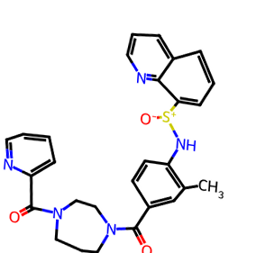 Cc1cc(C(=O)N2CCCN(C(=O)c3ccccn3)CC2)ccc1N[S+]([O-])c1cccc2cccnc12